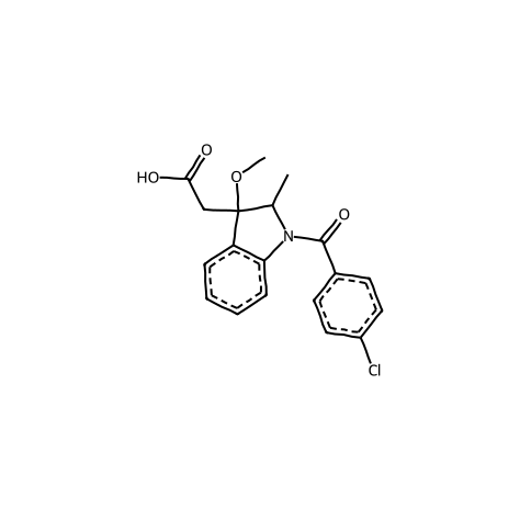 COC1(CC(=O)O)c2ccccc2N(C(=O)c2ccc(Cl)cc2)C1C